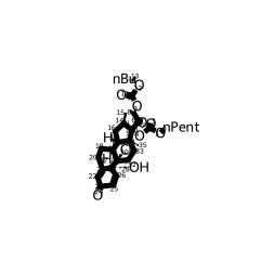 CCCCCOC(=O)O[C@]1(C(=O)COC(=O)OCCCC)[C@H](C)C[C@H]2[C@@H]3CCC4=CC(=O)C=C[C@]4(C)[C@@]3(Cl)C(O)C[C@@]21C